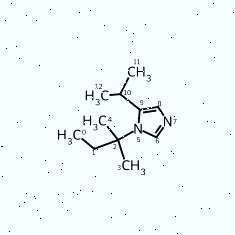 CCC(C)(C)n1cncc1C(C)C